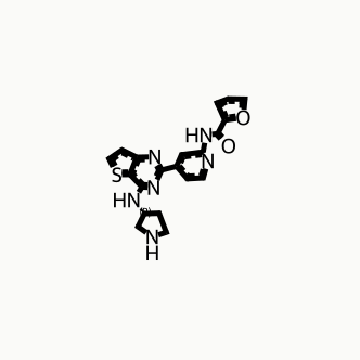 O=C(Nc1cc(-c2nc(N[C@@H]3CCNC3)c3sccc3n2)ccn1)c1ccco1